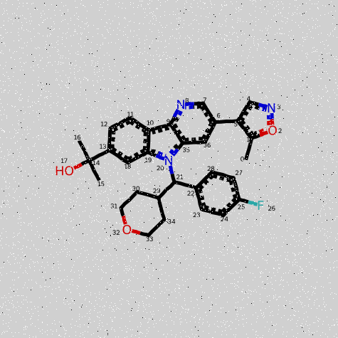 Cc1oncc1-c1cnc2c3ccc(C(C)(C)O)cc3n(C(c3ccc(F)cc3)C3CCOCC3)c2c1